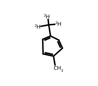 [2H]C([2H])([2H])c1ccc(C)cc1